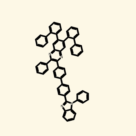 c1ccc(-c2ccccc2-c2cc3nc(-c4ccccc4)c(-c4ccc(-c5ccc(-c6nc7ccccc7n6-c6ccccc6)cc5)cc4)nc3cc2-c2ccccc2-c2ccccc2)cc1